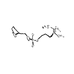 C[N+](C)(C)CCOP(=O)([O-])OCC1CO1